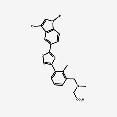 Cc1c(CN(C)CC(=O)O)cccc1-c1noc(-c2ccc3c(c2)c(Cl)cn3C(C)C)n1